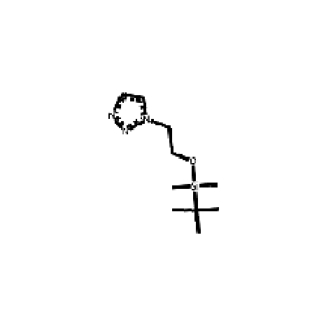 CC(C)(C)[Si](C)(C)OCCn1ccnn1